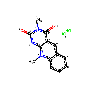 Cl.Cl.Cn1c(=O)nc2n(C)c3ccccc3cc-2c1=O